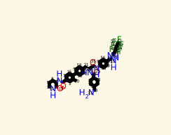 Cc1cc(C(=O)NC2CCCNC2=O)ccc1-c1ccc(C[C@H](NC(=O)C2CCC(CN)CC2)C(=O)Nc2ccc(-c3nc(C(F)(F)C(F)(F)C(F)(F)F)n[nH]3)cc2)cc1